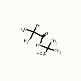 CCC(C)(C)C(=O)NC(C)(C)C(=O)O